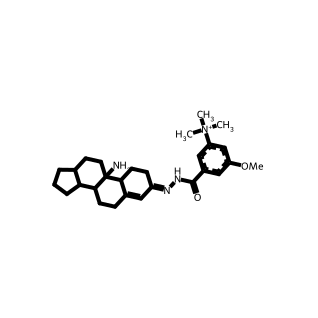 COc1cc(C(=O)N/N=C2/C=C3CCC4C5CCCC5CCC4(N)C3CC2)cc([N+](C)(C)C)c1